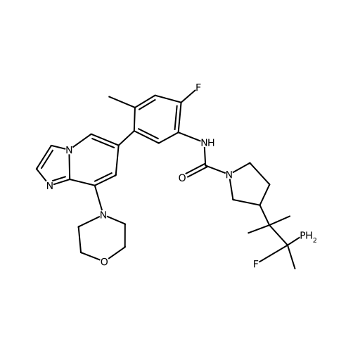 Cc1cc(F)c(NC(=O)N2CCC(C(C)(C)C(C)(F)P)C2)cc1-c1cc(N2CCOCC2)c2nccn2c1